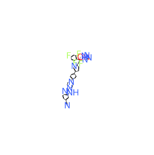 N#Cc1ccc2nc(N3CCN(c4ccc(-c5ccc(C(F)(F)C(O)(Cn6cnnn6)c6ccc(F)cc6F)nc5)cc4)CC3)[nH]c2c1